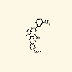 CNc1ncc2c(n1)N1C[C@@H](C)N=C1C(c1cc(NC(=O)c3cc(C(F)(F)F)ccn3)ccc1C)=C2